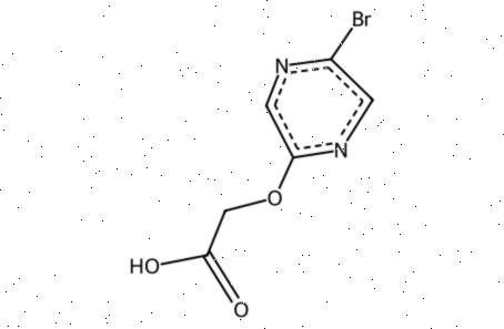 O=C(O)COc1cnc(Br)cn1